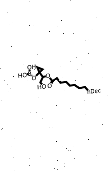 CCCCCCCCCCCCCCCCCC(=O)OC(CO)C1(OB(O)O)CC1